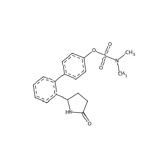 CN(C)S(=O)(=O)Oc1ccc(-c2ccccc2C2CCC(=O)N2)cc1